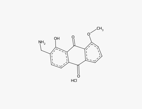 COc1cccc2c1C(=O)c1c(ccc(CN)c1O)C2=O.Cl